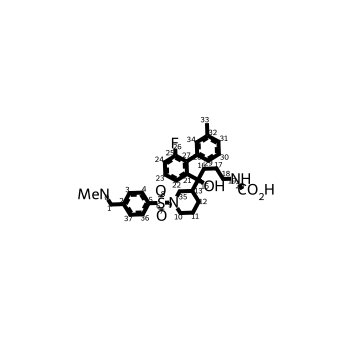 CNCc1ccc(S(=O)(=O)N2CCCC(C(O)(CCCNC(=O)O)c3cccc(F)c3-c3cccc(C)c3)C2)cc1